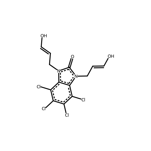 O=c1n(CC=CO)c2c(Cl)c(Cl)c(Cl)c(Cl)c2n1CC=CO